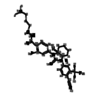 CN(C)CCCONC(=O)c1ccc(N2C(=O)N(c3ccc(C#N)c(C(F)(F)F)c3)[C@@H]3CCCC[C@H]32)cc1F